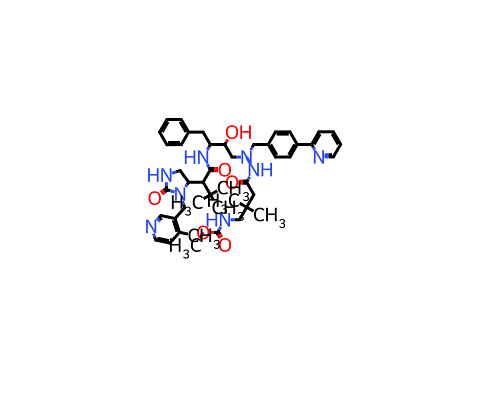 COC(=O)NCC(C)(C)CC(=O)NN(Cc1ccc(-c2ccccn2)cc1)CC(O)C(Cc1ccccc1)NC(=O)C(C1CNC(=O)N1Cc1cnccc1C)C(C)(C)C